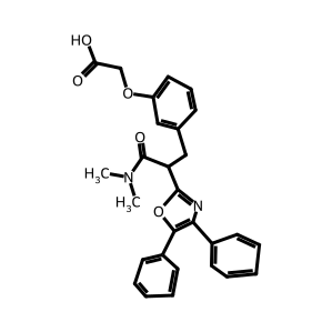 CN(C)C(=O)C(Cc1cccc(OCC(=O)O)c1)c1nc(-c2ccccc2)c(-c2ccccc2)o1